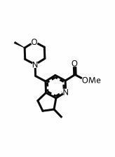 COC(=O)c1cc(CN2CCO[C@H](C)C2)c2c(n1)C(C)CC2